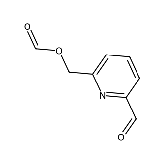 O=COCc1cccc(C=O)n1